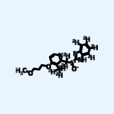 [2H]c1c([2H])c([2H])c2[nH]c([S+]([O-])C([2H])([2H])c3nccc(OCCCOC)c3C([2H])([2H])[2H])nc2c1[2H]